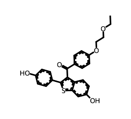 CCOCCOc1ccc(C(=O)c2c(-c3ccc(O)cc3)sc3cc(O)ccc23)cc1